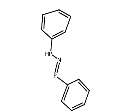 c1ccc(P=NPc2ccccc2)cc1